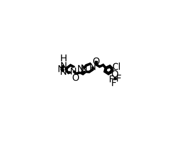 O=C(CCc1ccc(OC(F)(F)F)c(Cl)c1)N1CCc2cc(C(=O)N3CCc4[nH]nnc4C3)nn2CC1